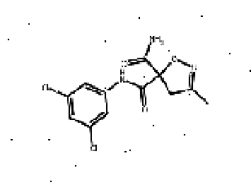 CC1=NOC(C(N)=O)(C(=O)Nc2cc(Cl)cc(Cl)c2)C1